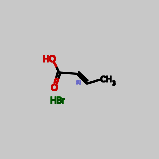 Br.C/C=C/C(=O)O